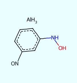 O=Nc1cccc(NO)c1.[AlH3]